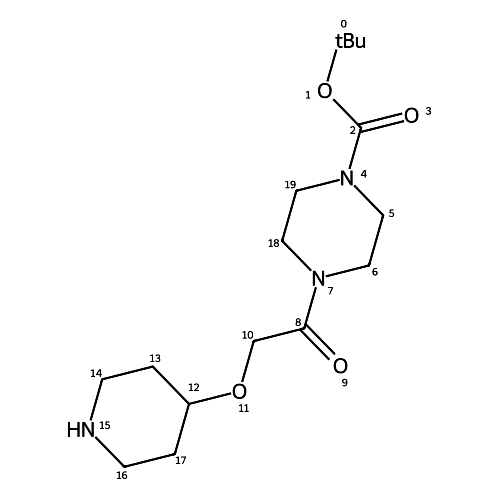 CC(C)(C)OC(=O)N1CCN(C(=O)COC2CCNCC2)CC1